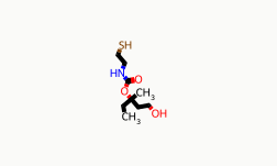 CCC(C)(CCO)OC(=O)NCCS